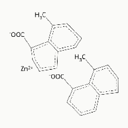 Cc1cccc2cccc(C(=O)[O-])c12.Cc1cccc2cccc(C(=O)[O-])c12.[Zn+2]